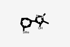 CSc1cccc(-c2nn(C)c(C)c2O)c1